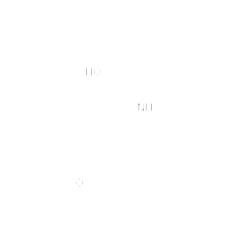 C[C@@H](CO)NCCC[O]